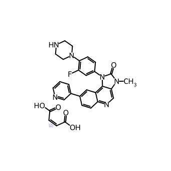 Cn1c(=O)n(-c2ccc(N3CCNCC3)c(F)c2)c2c3cc(-c4cccnc4)ccc3ncc21.O=C(O)/C=C\C(=O)O